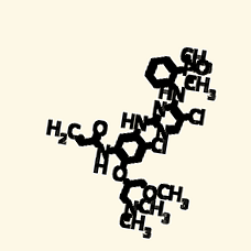 C=CC(=O)Nc1cc(Nc2ncc(Cl)c(Nc3ccccc3P(C)(C)=O)n2)c(Cl)cc1OC(COC)CN(C)C